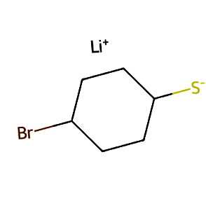 [Li+].[S-]C1CCC(Br)CC1